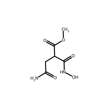 COC(=O)C(CC(N)=O)C(=O)NO